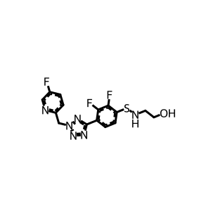 OCCNSc1ccc(-c2nnn(Cc3ccc(F)cn3)n2)c(F)c1F